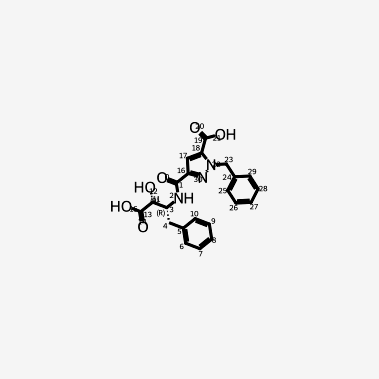 O=C(N[C@H](Cc1ccccc1)[C@@H](O)C(=O)O)c1cc(C(=O)O)n(Cc2ccccc2)n1